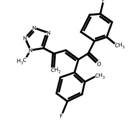 C=C(C=C(C(=O)c1ccc(F)cc1C)c1ccc(F)cc1C)c1nnnn1C